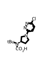 CC(C)(C)N(C(=O)O)[C@@H]1CCN(c2ccc(Cl)nn2)C1